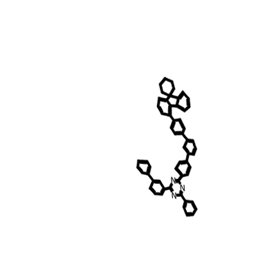 c1ccc(-c2cccc(-c3nc(-c4ccccc4)nc(-c4ccc(-c5cccc(-c6ccc(-c7cccc8c7-c7ccccc7C87CCCCC7)cc6)c5)cc4)n3)c2)cc1